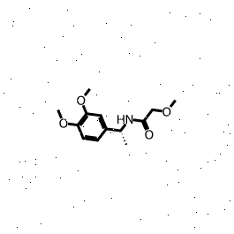 COCC(=O)N[C@H](C)c1ccc(OC)c(OC)c1